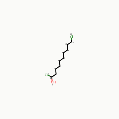 OC(Cl)CCCCCCCCCCl